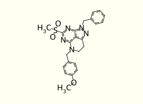 COc1ccc(CN2CCc3nn(Cc4ccccc4)c4nc(S(C)(=O)=O)nc2c34)cc1